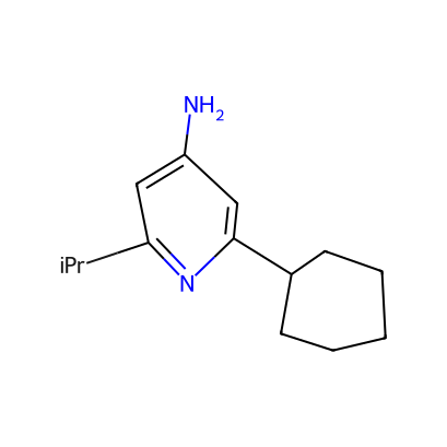 CC(C)c1cc(N)cc(C2CCCCC2)n1